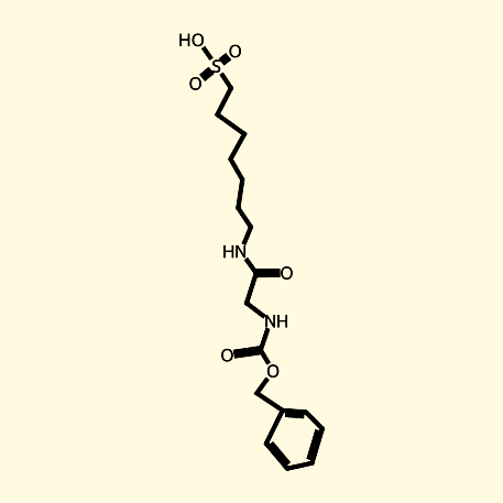 O=C(CNC(=O)OCc1ccccc1)NCCCCCCCS(=O)(=O)O